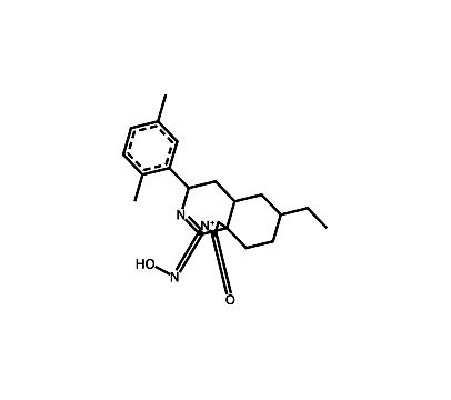 CCC1CCC23CC(=O)[N+](=NO)C2=NC(c2cc(C)ccc2C)CC3C1